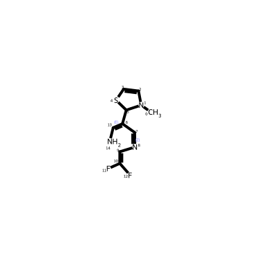 CN1C=CSC1C(/C=N\C=C(F)F)=C/N